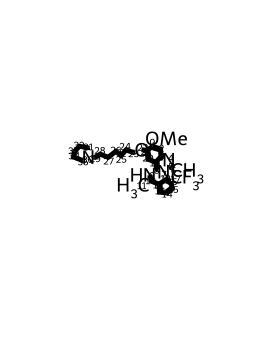 COc1cc2nc(C)nc(N[C@H](C)c3cccc(C(F)(F)F)c3)c2cc1OCCCCCCCN1CCCCC1